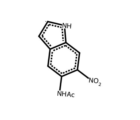 CC(=O)Nc1cc2c[c][nH]c2cc1[N+](=O)[O-]